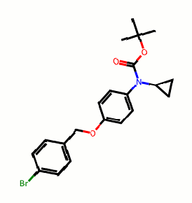 CC(C)(C)OC(=O)N(c1ccc(OCc2ccc(Br)cc2)cc1)C1CC1